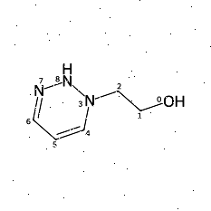 OCCN1C=CC=NN1